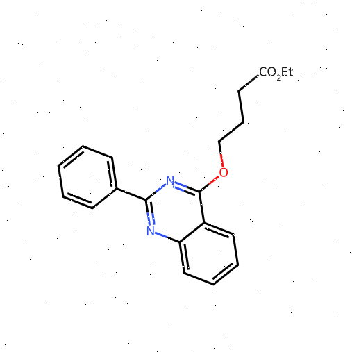 CCOC(=O)CCCOc1nc(-c2ccccc2)nc2ccccc12